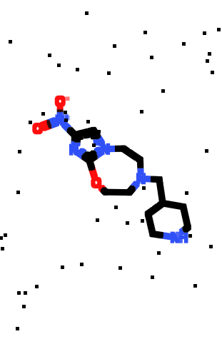 O=[N+]([O-])c1cn2c(n1)OCCN(CC1CCNCC1)CC2